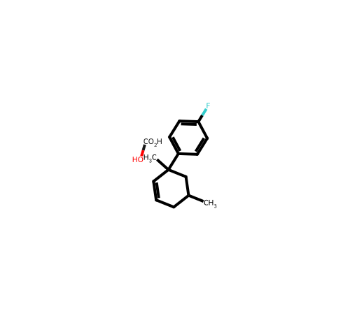 CC1CC=CC(C)(c2ccc(F)cc2)C1.O=C(O)O